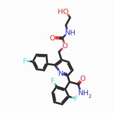 NC(=O)C(c1ccc(COC(=O)NCCO)c(-c2ccc(F)cc2)n1)c1c(F)cccc1F